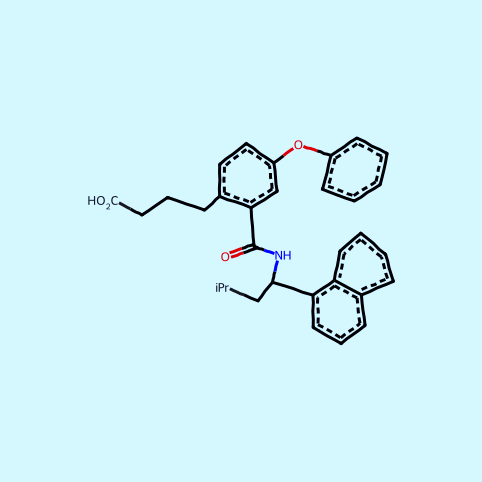 CC(C)CC(NC(=O)c1cc(Oc2ccccc2)ccc1CCCC(=O)O)c1cccc2ccccc12